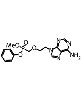 COP(=O)(COCCn1cnc2c(N)ncnc21)Oc1ccccc1